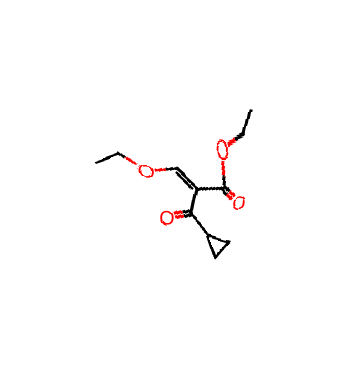 CCO/C=C(/C(=O)OCC)C(=O)C1CC1